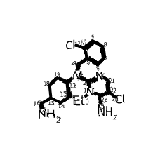 CCN1C(N(Cc2ccccc2Cl)C2CCC(CN)CC2)=NC=C(Cl)C1N